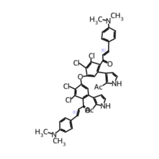 CC(=O)c1[nH]ccc1-c1cc(Oc2cc(-c3cc[nH]c3C(C)=O)c(C(=O)/C=C/c3ccc(N(C)C)cc3)c(Cl)c2Cl)c(Cl)c(Cl)c1C(=O)/C=C/c1ccc(N(C)C)cc1